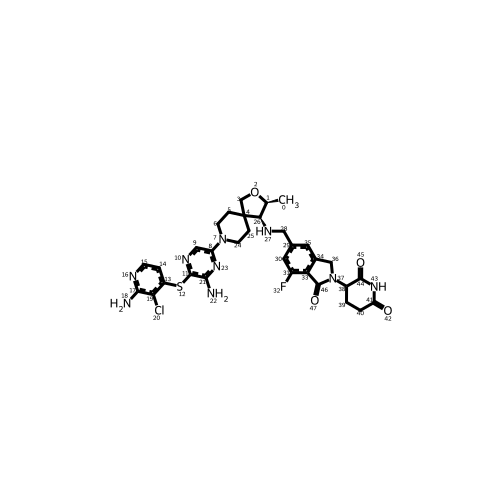 C[C@@H]1OCC2(CCN(c3cnc(Sc4ccnc(N)c4Cl)c(N)n3)CC2)[C@@H]1NCc1cc(F)c2c(c1)CN(C1CCC(=O)NC1=O)C2=O